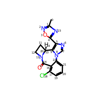 Cc1noc(-c2ncn3c2[C@H]2CCN2C(=O)c2c(Cl)cccc2-3)n1